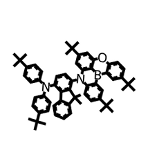 CC(C)(C)c1ccc(N(c2ccc(C(C)(C)C)cc2)c2ccc(N3c4ccc(C(C)(C)C)cc4B4c5cc(C(C)(C)C)ccc5Oc5cc(C(C)(C)C)cc3c54)c3c2-c2ccccc2C3(C)C)cc1